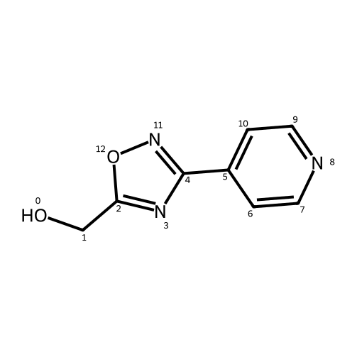 OCc1nc(-c2ccncc2)no1